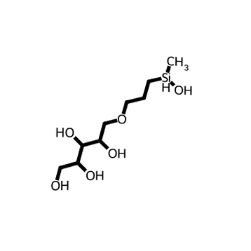 C[SiH](O)CCCOCC(O)C(O)C(O)CO